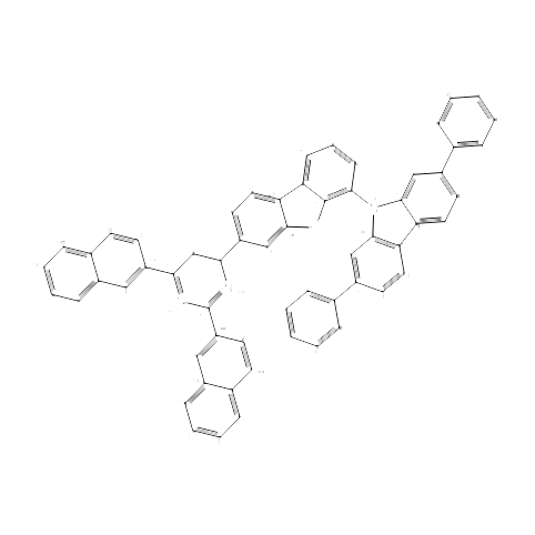 c1ccc(-c2ccc3c4ccc(-c5ccccc5)cc4n(-c4cccc5c4oc4cc(C6CC(c7ccc8ccccc8c7)=NC(c7ccc8ccccc8c7)=N6)ccc45)c3c2)cc1